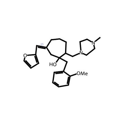 COc1ccccc1CC1(O)C/C(=C\c2ccco2)CCCC1CN1CCN(C)CC1